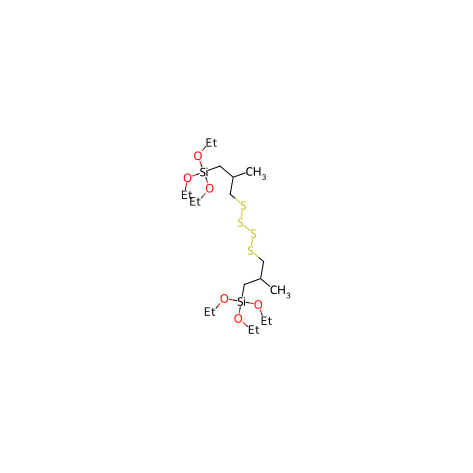 CCO[Si](CC(C)CSSSSCC(C)C[Si](OCC)(OCC)OCC)(OCC)OCC